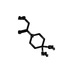 CC(=O)OCC(=O)N1CCC(C)(N)CC1